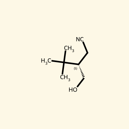 CC(C)(C)[C@@H](CO)CC#N